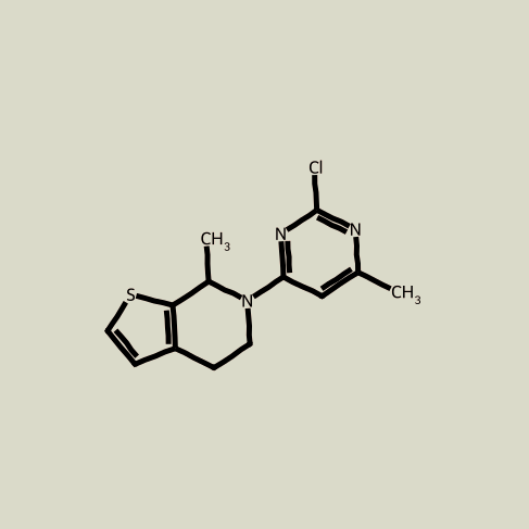 Cc1cc(N2CCc3ccsc3C2C)nc(Cl)n1